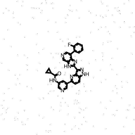 O=C(Nc1cncc(-c2ccc3[nH]nc(-c4nc5c(-c6ccccc6F)cncc5[nH]4)c3n2)c1)C1CC1